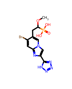 COC(Cc1cn2cc(-c3nnn[nH]3)nc2cc1Br)P(=O)(O)O